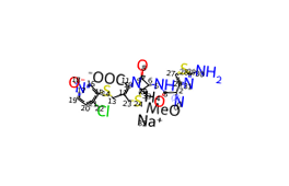 CO/N=C(\C(=O)NC1C(=O)N2C(C(=O)[O-])=C(CSc3c[n+]([O-])ccc3Cl)CS[C@@H]12)c1csc(N)n1.[Na+]